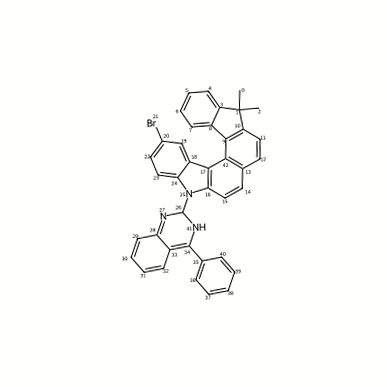 CC1(C)c2ccccc2-c2c1ccc1ccc3c(c4cc(Br)ccc4n3C3N=c4ccccc4=C(c4ccccc4)N3)c21